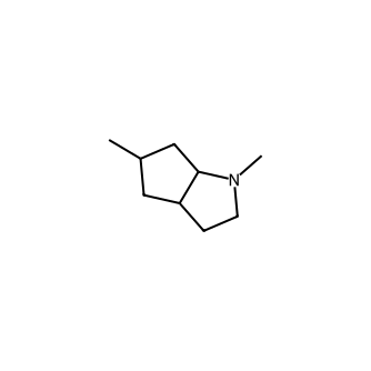 CC1CC2CCN(C)C2C1